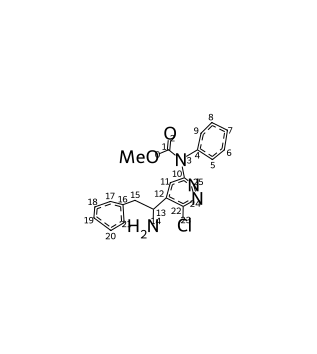 COC(=O)N(c1ccccc1)c1cc(C(N)Cc2ccccc2)c(Cl)nn1